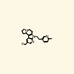 Cc1ccc(CCn2c3c(c4cc(CF)cnc42)C2CCCN2CC3)cn1